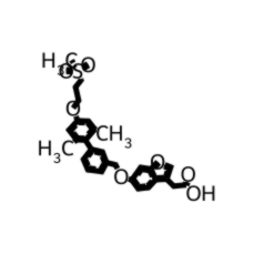 Cc1cc(OCCCS(C)(=O)=O)cc(C)c1-c1cccc(COc2ccc3c(CC(=O)O)coc3c2)c1